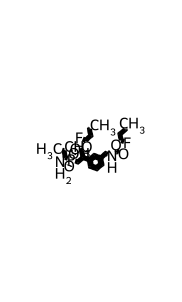 CCCC(F)OC(=O)NCc1cccc(C(CP(=O)(O)C(N)C(C)C)C(=O)OC(F)CCC)c1